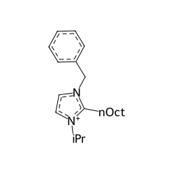 CCCCCCCCc1n(Cc2ccccc2)cc[n+]1C(C)C